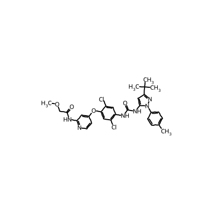 COCC(=O)Nc1cc(Oc2cc(Cl)c(NC(=O)Nc3cc(C(C)(C)C)nn3-c3ccc(C)cc3)cc2Cl)ccn1